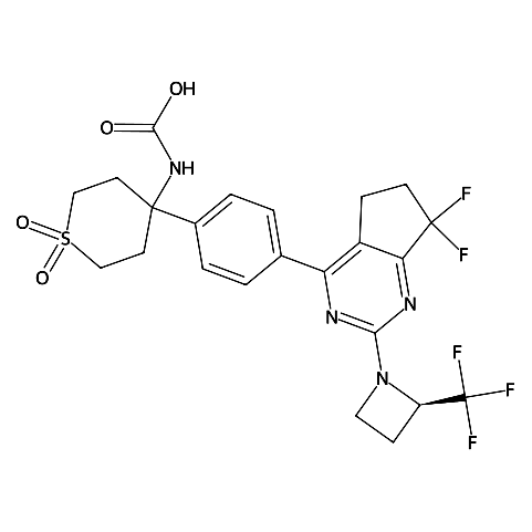 O=C(O)NC1(c2ccc(-c3nc(N4CC[C@@H]4C(F)(F)F)nc4c3CCC4(F)F)cc2)CCS(=O)(=O)CC1